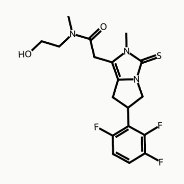 CN(CCO)C(=O)Cc1c2n(c(=S)n1C)CC(c1c(F)ccc(F)c1F)C2